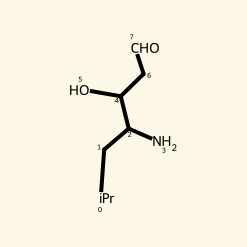 CC(C)CC(N)C(O)CC=O